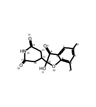 Cc1cc(C)c2c(c1)C(=O)C(O)(C1CC(=O)NC(=O)C1)O2